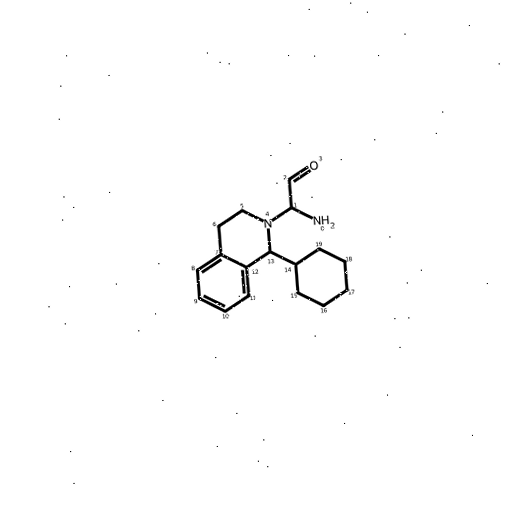 NC(C=O)N1CCc2ccccc2C1C1CCCCC1